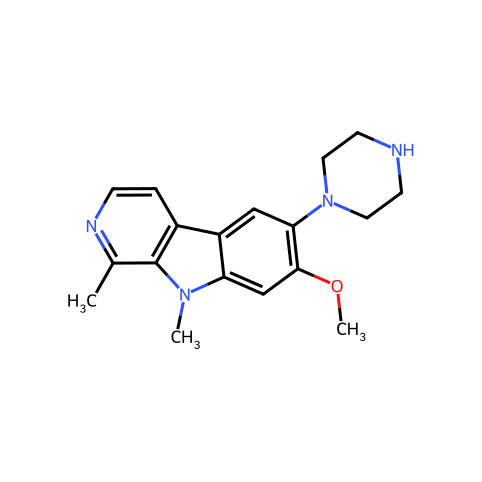 COc1cc2c(cc1N1CCNCC1)c1ccnc(C)c1n2C